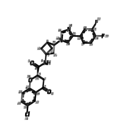 O=C1C[C@H](C(=O)NC23CC(C2)C(n2cnc(-c4ccc(F)c(F)c4)c2)C3)Oc2ccc(Cl)cc21